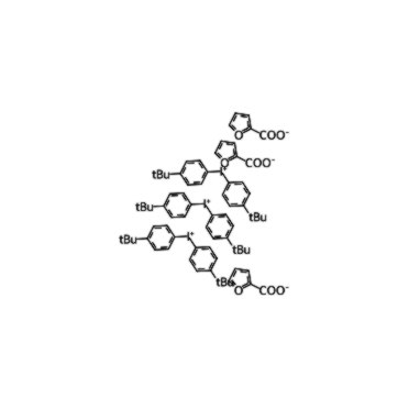 CC(C)(C)c1ccc([I+]c2ccc(C(C)(C)C)cc2)cc1.CC(C)(C)c1ccc([I+]c2ccc(C(C)(C)C)cc2)cc1.CC(C)(C)c1ccc([I+]c2ccc(C(C)(C)C)cc2)cc1.O=C([O-])c1ccco1.O=C([O-])c1ccco1.O=C([O-])c1ccco1